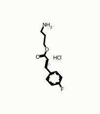 Cl.NCCCOC(=O)/C=C/c1ccc(F)cc1